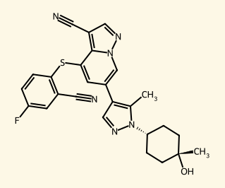 Cc1c(-c2cc(Sc3ccc(F)cc3C#N)c3c(C#N)cnn3c2)cnn1[C@H]1CC[C@@](C)(O)CC1